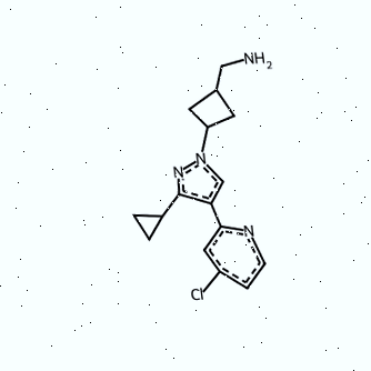 NCC1CC(n2cc(-c3cc(Cl)ccn3)c(C3CC3)n2)C1